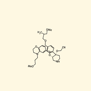 COCCCN1CCOc2ccc(CO[C@H]3CNCC[C@]3(OCC#N)c3ccc(COCC(C)COC)cc3)cc21